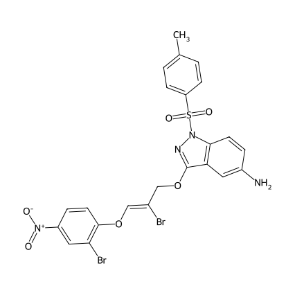 Cc1ccc(S(=O)(=O)n2nc(OCC(Br)=COc3ccc([N+](=O)[O-])cc3Br)c3cc(N)ccc32)cc1